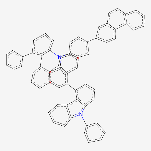 c1ccc(-c2ccccc2-c2c(-c3ccccc3)cccc2N(c2ccc(-c3ccc4c(ccc5ccccc54)c3)cc2)c2cccc(-c3cccc4c3c3ccccc3n4-c3ccccc3)c2)cc1